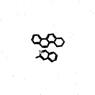 Cc1cc2ccccc2cn1.c1ccc2c(c1)ccc1c3c(ccc12)CCCC3